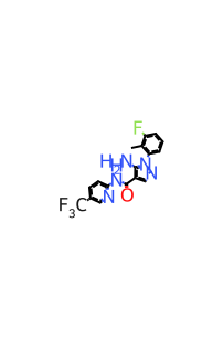 Cc1c(F)cccc1-n1ncc(C(=O)Nc2ccc(C(F)(F)F)cn2)c1N